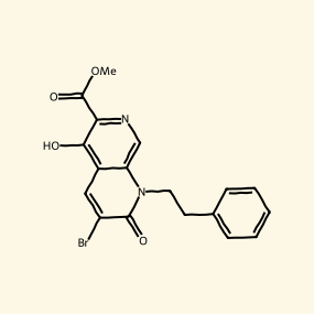 COC(=O)c1ncc2c(cc(Br)c(=O)n2CCc2ccccc2)c1O